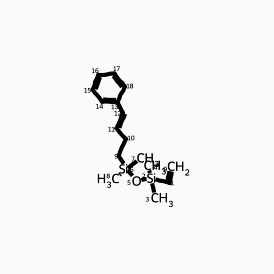 C=C[Si](C)(C)O[Si](C)(C)CCC=Cc1ccccc1